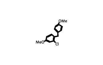 COc1ccc(Cc2ccc(OC)cc2Cl)cc1